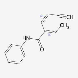 C#C/C=C\C(=C/C)C(=O)Nc1ccccc1